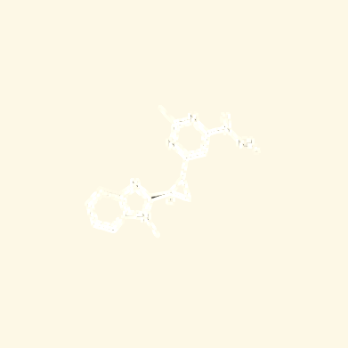 Cc1nc(NN)cc(C2C[C@H]2c2nc3ccccc3n2C)n1